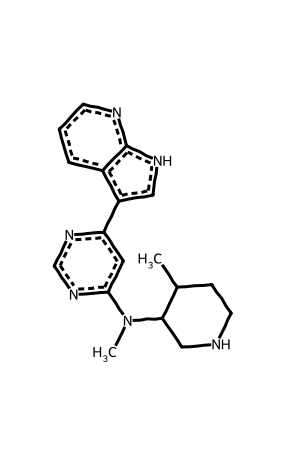 CC1CCNCC1N(C)c1cc(-c2c[nH]c3ncccc23)ncn1